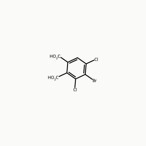 O=C(O)c1cc(Cl)c(Br)c(Cl)c1C(=O)O